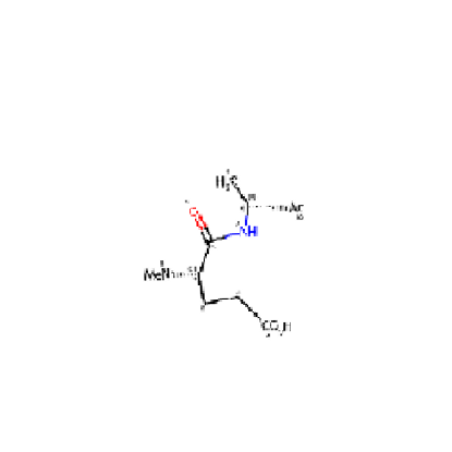 CN[C@@H](CCC(=O)O)C(=O)N[C@H](C)C(C)=O